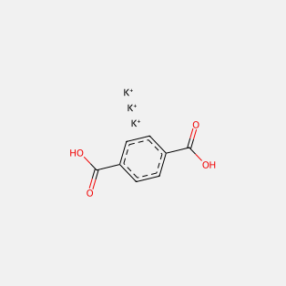 O=C(O)c1ccc(C(=O)O)cc1.[K+].[K+].[K+]